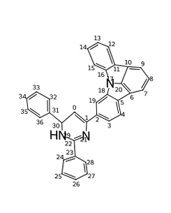 C1=C(c2ccc3c4cccc5c6ccccc6n(c3c2)c54)N=C(c2ccccc2)NC1c1ccccc1